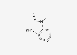 C=CN(C)c1ccccc1CCC